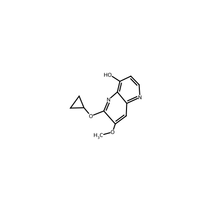 COc1cc2nccc(O)c2nc1OC1CC1